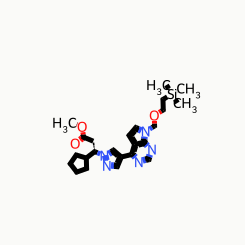 COC(=O)C[C@@H](C1CCCC1)n1cc(-c2ncnc3c2ccn3COCC[Si](C)(C)C)cn1